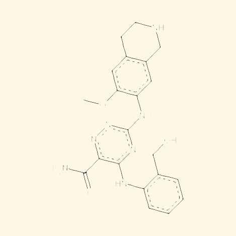 COc1cc2c(cc1Nc1nnc(C(N)=O)c(Nc3ccccc3CO)n1)CNCC2